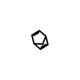 [CH]1C2C=CC1C=C2